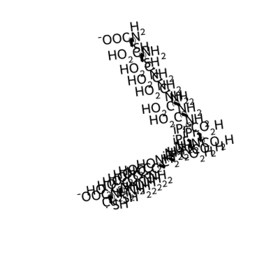 CC(C)C[C@H](N)C(=O)O.CC(C)C[C@H](N)C(=O)O.CC(C)[C@H](N)C(=O)O.CC(C)[C@H](N)C(=O)O.C[C@H](N)C(=O)O.C[C@H](N)C(=O)O.C[C@H](N)C(=O)O.C[C@H](N)C(=O)O.NCC(=O)O.NCC(=O)O.NCC(=O)O.NCC(=O)O.NCC(=O)O.NCC(=O)O.NCC(=O)O.NCC(=O)O.N[C@@H](CS)C(=O)O.N[C@@H](CS)C(=O)O.N[C@@H](CS)C(=O)[O-].N[C@@H](CS)C(=O)[O-].[Cu+2]